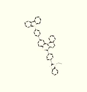 CCn1c(-c2ccc(-c3nc4ccc(-c5ccc(-n6c7ccccc7c7ccccc76)cc5)cc4c4c3ccc3ccccc34)cc2)nc2ccccc21